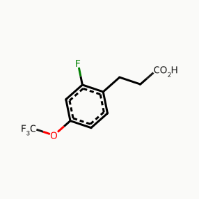 O=C(O)CCc1ccc(OC(F)(F)F)cc1F